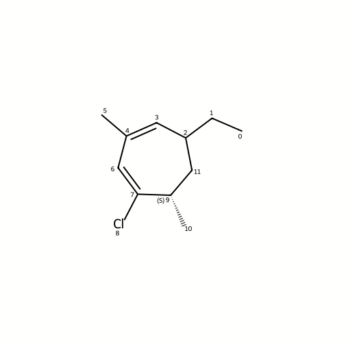 CCC1C=C(C)C=C(Cl)[C@@H](C)C1